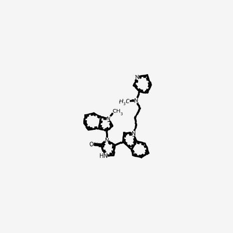 CN(CCCn1cc(-c2c[nH]c(=O)n2-c2cn(C)c3ccccc23)c2ccccc21)c1cccnc1